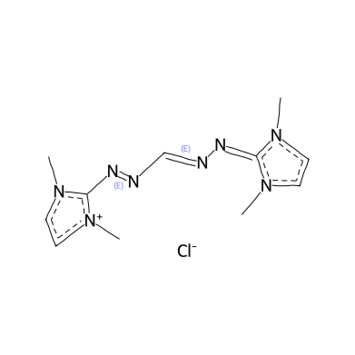 Cn1cc[n+](C)c1/N=N/C=N/N=c1n(C)ccn1C.[Cl-]